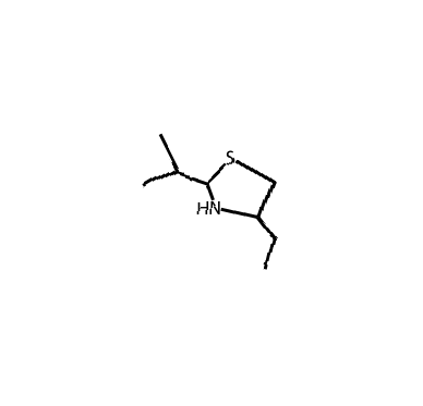 CCC1CSC(C(C)C)N1